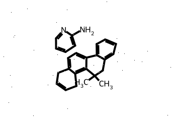 CC1(C)Cc2ccccc2-c2ccc3c(c21)CC=CC3.Nc1ccccn1